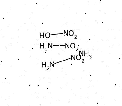 N.N[N+](=O)[O-].N[N+](=O)[O-].O=[N+]([O-])O